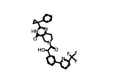 O=C(C(O)c1cccc(-c2cccc(C(F)(F)F)n2)c1)N1CCc2nc(C3(c4ccccc4)CC3)[nH]c(=O)c2C1